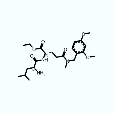 CCOC(=O)[C@H](CCC(=O)N(C)Cc1ccc(OC)cc1OC)NC(=O)[C@@H](N)CC(C)C